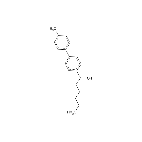 Cc1ccc(-c2ccc(C(O)CCCCC(=O)O)cc2)cc1